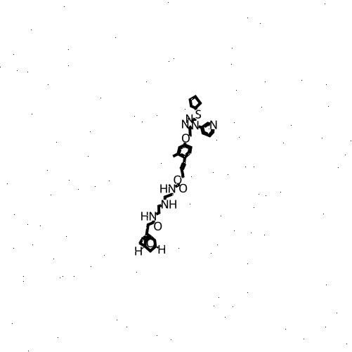 Cc1cc(OCc2nnc(SC3CCCC3)n2-c2cccnc2)ccc1C#CCOC(=O)NCCNCCNC(=O)CC1C23C[C@H]4C[C@@H](C2)C[C@]13C4